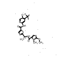 COc1ncc(C(=O)N[C@H](C)c2ncc(C(=O)Nc3cc(C(F)(F)F)c(Cl)cn3)s2)n1C